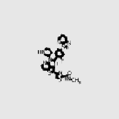 CNC(=O)c1nc(-c2cc3c(N(C(=O)c4ccc(-n5nnc6cccnc65)cc4F)[C@@H]4CCCNC4)nccc3s2)cs1